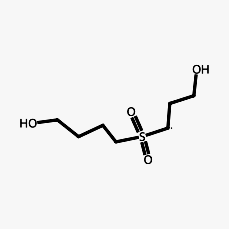 O=S(=O)([CH]CCO)CCCCO